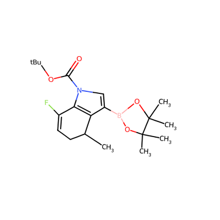 CC1CC=C(F)c2c1c(B1OC(C)(C)C(C)(C)O1)cn2C(=O)OC(C)(C)C